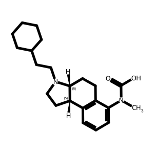 CN(C(=O)O)c1cccc2c1CC[C@@H]1[C@H]2CCN1CCC1CCCCC1